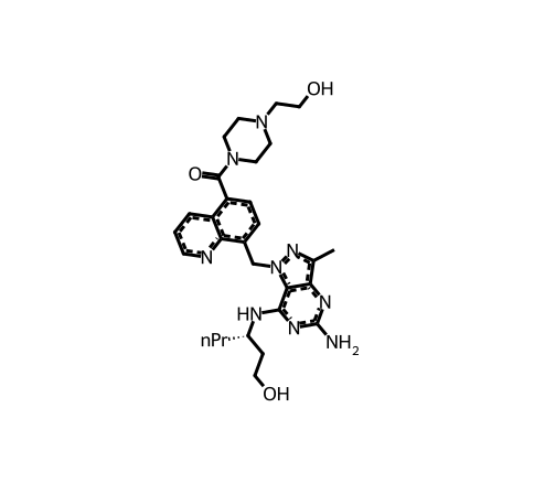 CCC[C@@H](CCO)Nc1nc(N)nc2c(C)nn(Cc3ccc(C(=O)N4CCN(CCO)CC4)c4cccnc34)c12